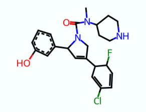 CN(C(=O)N1CC(C2C=C(Cl)C=CC2F)=CC1c1cccc(O)c1)C1CCNCC1